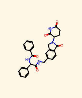 O=C1CCC(N2Cc3cc(CNC(=O)C(NC(=O)c4ccccc4)c4ccccc4)ccc3C2=O)C(=O)N1